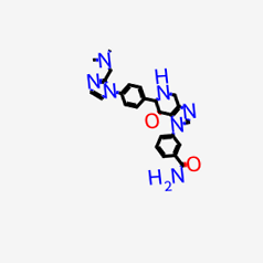 CN(C)Cc1nccn1-c1ccc(C2NCc3ncn(-c4cccc(C(N)=O)c4)c3C2=O)cc1